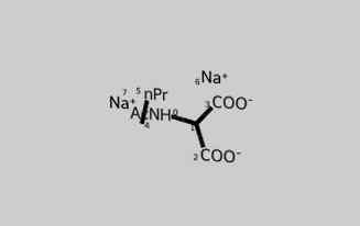 CC(=O)NC(C(=O)[O-])C(=O)[O-].CCCC.[Na+].[Na+]